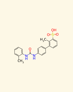 Cc1ccccc1NC(=O)Nc1ccc(-c2cccc(S(=O)(=O)O)c2C)cc1